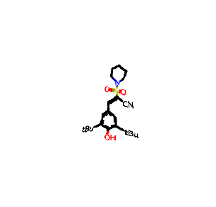 CC(C)(C)c1cc(/C=C(\C#N)S(=O)(=O)N2CCCCC2)cc(C(C)(C)C)c1O